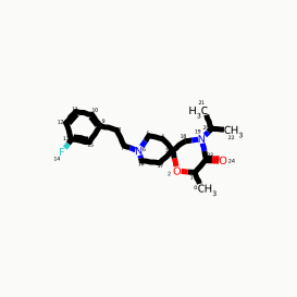 CC1OC2(CCN(CCc3cccc(F)c3)CC2)CN(C(C)C)C1=O